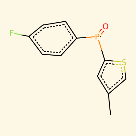 Cc1csc([P](=O)c2ccc(F)cc2)c1